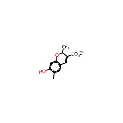 CCOC(=O)C1=Cc2cc(C)c(O)cc2OC1C(F)(F)F